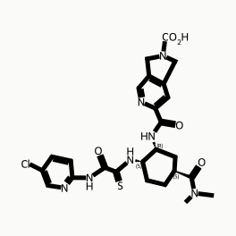 CN(C)C(=O)[C@H]1CC[C@H](NC(=S)C(=O)Nc2ccc(Cl)cn2)[C@H](NC(=O)c2cc3c(cn2)CN(C(=O)O)C3)C1